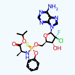 CC(C)OC(=O)[C@H](C)NP(=S)(OC[C@H]1O[C@@H](n2cnc3c(N)ncnc32)[C@@](F)(Cl)[C@@H]1O)Oc1ccccc1